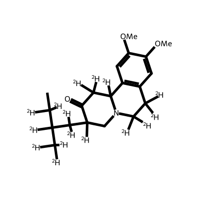 [2H]C([2H])([2H])C([2H])(C([2H])([2H])C)C([2H])([2H])C1([2H])CN2C([2H])([2H])C([2H])([2H])c3cc(OC)c(OC)cc3C2([2H])C([2H])([2H])C1=O